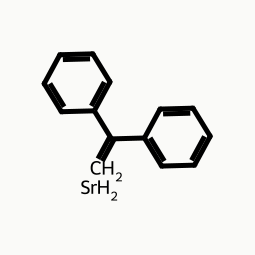 C=C(c1ccccc1)c1ccccc1.[SrH2]